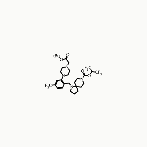 CC(C)(C)OC(=O)CN1CCN(c2cc(C(F)(F)F)ccc2CN2CCCC23CCN(C(=O)OC(C(F)(F)F)C(F)(F)F)CC3)CC1